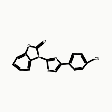 N#Cc1ccc(-c2csc(-n3c(=O)oc4ccccc43)n2)cc1